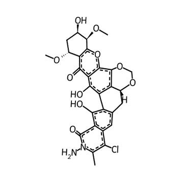 CO[C@@H]1C[C@@H](O)[C@@H](OC)c2oc3c4c5c(c(O)c3c(=O)c21)-c1c(cc2c(Cl)c(C)n(N)c(=O)c2c1O)C[C@H]5OCO4